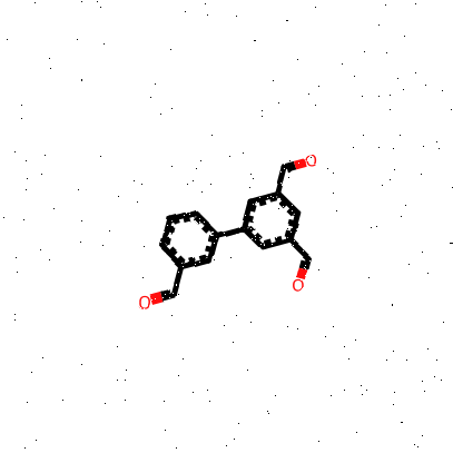 O=Cc1cccc(-c2cc(C=O)cc(C=O)c2)c1